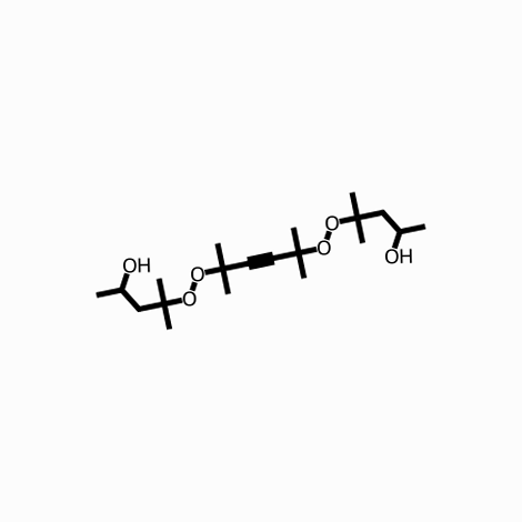 CC(O)CC(C)(C)OOC(C)(C)C#CC(C)(C)OOC(C)(C)CC(C)O